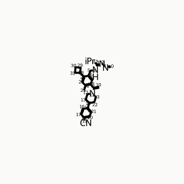 C=N/N=C(\NCc1cc(C(=C)N2CCC(c3ccc(C#N)cc3)CC2)c(C)cc1C1CCC1)C(C)C